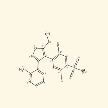 Cc1ncccc1-c1noc(CO)c1-c1cc(F)c(S(N)(=O)=O)cc1F